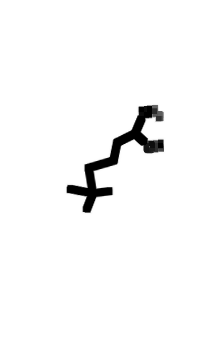 CC(C)(C)CCCC(N)O